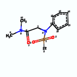 CCS(=O)(=O)N(CC(=O)N(C)C)c1[c]cccc1